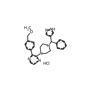 COCc1ccc(-c2nccnc2N2CCN(C(c3ccccc3)c3cn[nH]c3)CC2)cc1.Cl